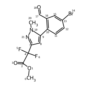 COC(=O)C(F)(F)c1cc(-c2ccc(Br)cc2C=O)n(C)n1